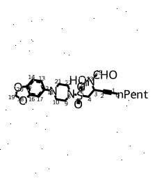 CCCCCC#CC(CS(=O)(=O)N1CCN(c2ccc3c(c2)OCO3)CC1)N(O)C=O